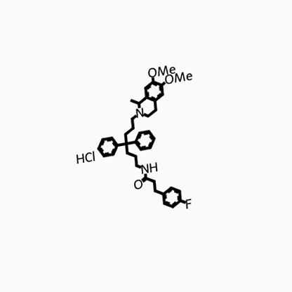 COc1cc2c(cc1OC)C(C)N(CCCC(CCCNC(=O)CCc1ccc(F)cc1)(c1ccccc1)c1ccccc1)CC2.Cl